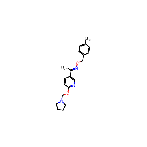 C/C(=N\OCc1ccc(C(F)(F)F)cc1)c1ccc(OCN2CCCC2)nc1